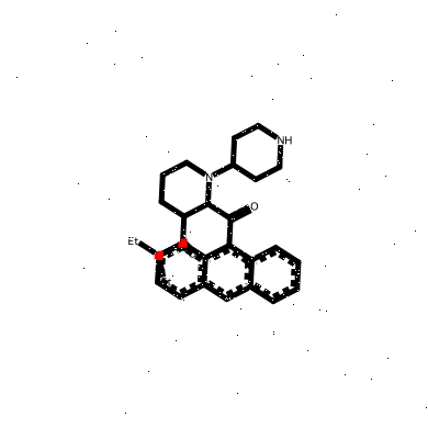 CCN(CC)C(=O)C1CCCN(C2CCNCC2)C1C(=O)c1c2ccccc2cc2ccccc12